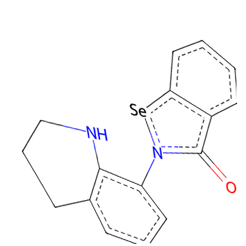 O=c1c2ccccc2[se]n1-c1cccc2c1NCCC2